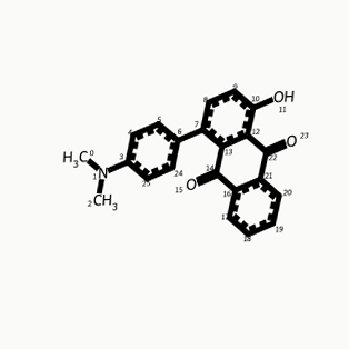 CN(C)c1ccc(-c2ccc(O)c3c2C(=O)c2ccccc2C3=O)cc1